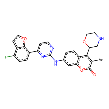 CC(=O)c1c(C2CNCCO2)c2ccc(Nc3nccc(-c4ccc(F)c5ccoc45)n3)cc2oc1=O